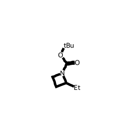 CCC1CCN1C(=O)OC(C)(C)C